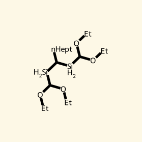 CCCCCCCC([SiH2]C(OCC)OCC)[SiH2]C(OCC)OCC